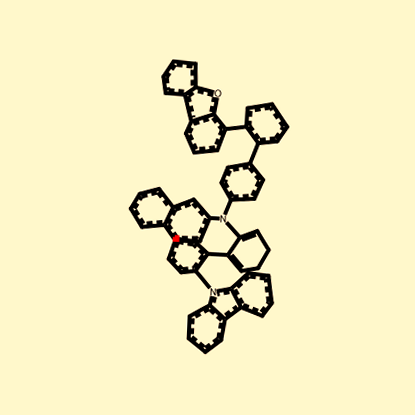 C1=C(c2ccccc2-n2c3ccccc3c3ccccc32)C(N(c2ccc(-c3ccccc3-c3cccc4c3oc3ccccc34)cc2)c2ccc3ccccc3c2)=CCC1